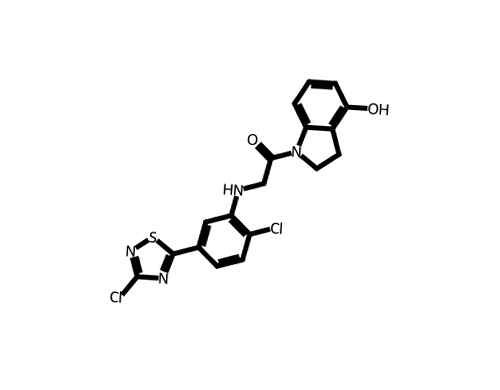 O=C(CNc1cc(-c2nc(Cl)ns2)ccc1Cl)N1CCc2c(O)cccc21